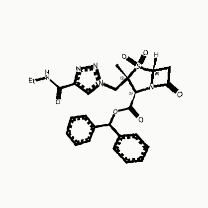 CCNC(=O)c1cn(C[C@@]2(C)[C@H](C(=O)OC(c3ccccc3)c3ccccc3)N3C(=O)C[C@H]3S2(=O)=O)nn1